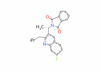 CC(C)Cc1nc2cc(F)ccc2cc1[C@H](C)N1C(=O)c2ccccc2C1=O